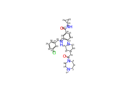 CN1CCCN(C(=O)CC2CCN(c3ccc(C(=O)NC4CC4)cc3NCc3cccc(Cl)c3)CC2)CC1